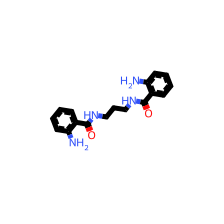 Nc1ccccc1C(=O)NCCCNC(=O)c1ccccc1N